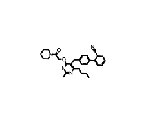 CCCCc1nc(C)nc(OCC(=O)N2CCCCC2)c1Cc1ccc(-c2ccccc2C#N)cc1